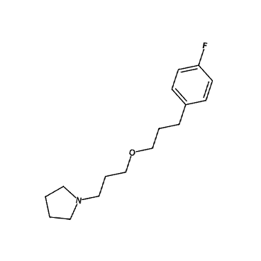 Fc1ccc(CCCOCCCN2CCCC2)cc1